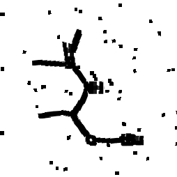 CC(N[SiH](C)C)OC(C)(C)C